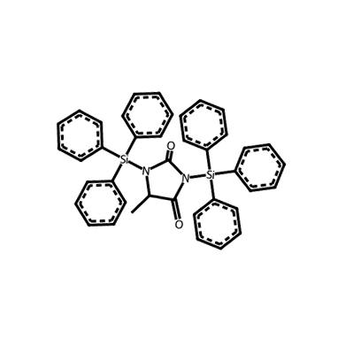 CC1C(=O)N([Si](c2ccccc2)(c2ccccc2)c2ccccc2)C(=O)N1[Si](c1ccccc1)(c1ccccc1)c1ccccc1